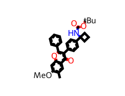 COc1cc2oc(-c3ccccc3)c(-c3ccc(C4(NC(=O)OC(C)(C)C)CCC4)cc3)c(=O)c2cc1C